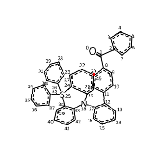 O=C(c1ccccc1)c1ccc(-c2ccccc2N2c3ccccc3S(c3ccccc3)(c3ccccc3)c3ccccc32)cc1